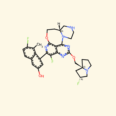 Cc1c(F)ccc2cc(O)cc(-c3nc4c5c(nc(OC[C@@]67CCCN6C[C@H](F)C7)nc5c3F)N3CCNC[C@H]3CCO4)c12